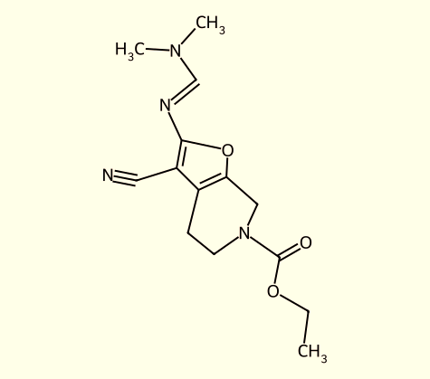 CCOC(=O)N1CCc2c(oc(N=CN(C)C)c2C#N)C1